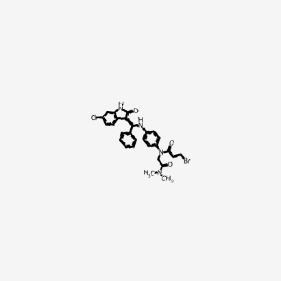 CN(C)C(=O)CN(C(=O)CCBr)c1ccc(N/C(=C2\C(=O)Nc3cc(Cl)ccc32)c2ccccc2)cc1